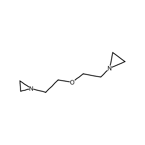 C(CN1CC1)OCCN1CC1